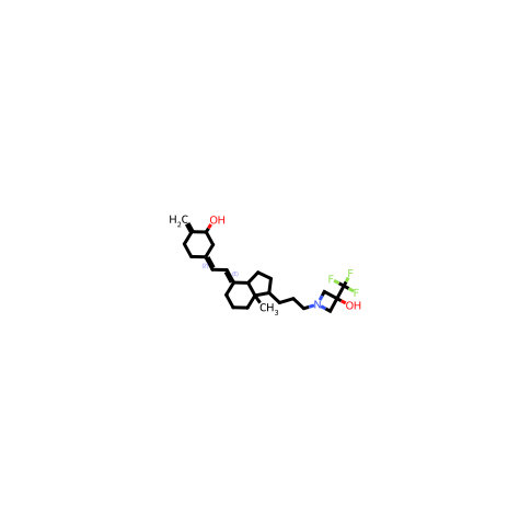 C=C1CC/C(=C/C=C2\CCCC3(C)C(CCCN4CC(O)(C(F)(F)F)C4)CCC23)CC1O